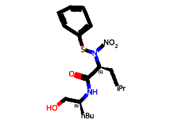 CCCC[C@@H](CO)NC(=O)[C@H](CC(C)C)N(Sc1ccccc1)[N+](=O)[O-]